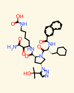 CC(C)(O)c1cnnn1[C@@H]1C[C@@H](C(=O)NC(CCCCNC(=O)O)C(=O)C(N)=O)N(C(=O)[C@@H](CC2CCCCC2)NC(=O)c2ccc3ccccc3c2)C1